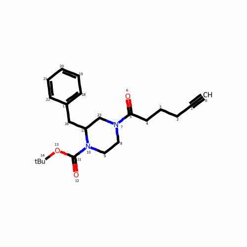 C#CCCCC(=O)N1CCN(C(=O)OC(C)(C)C)C(Cc2ccccc2)C1